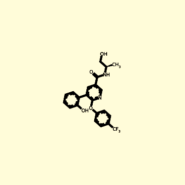 C[C@H](CO)NC(=O)c1cnc(Oc2ccc(C(F)(F)F)cc2)c(-c2ccccc2O)c1